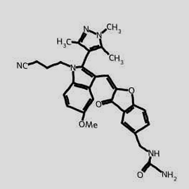 COc1ccc2c(c1)c(C=C1Oc3ccc(CNC(N)=O)cc3C1=O)c(-c1c(C)nn(C)c1C)n2CCCC#N